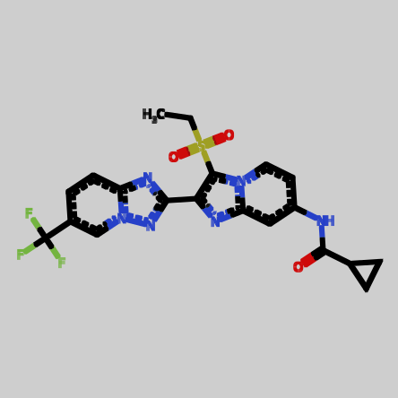 CCS(=O)(=O)c1c(-c2nc3ccc(C(F)(F)F)cn3n2)nc2cc(NC(=O)C3CC3)ccn12